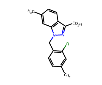 Cc1ccc(Cn2nc(C(=O)O)c3ccc(C)cc32)c(Cl)c1